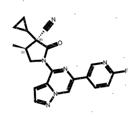 C[C@@H]1CN(c2nc(-c3ccc(F)nc3)cn3nccc23)C(=O)[C@]1(C#N)C1CC1